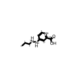 CCCNNc1ccnc(C(=O)O)c1